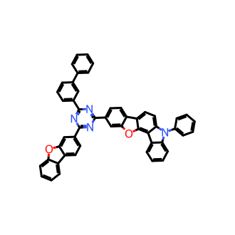 c1ccc(-c2cccc(-c3nc(-c4ccc5c(c4)oc4ccccc45)nc(-c4ccc5c(c4)oc4c5ccc5c4c4ccccc4n5-c4ccccc4)n3)c2)cc1